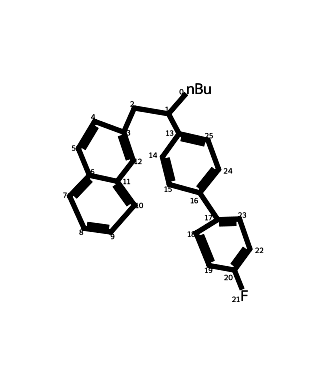 CCCCC(Cc1ccc2ccccc2c1)c1ccc(-c2ccc(F)cc2)cc1